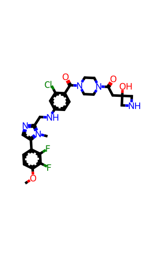 COc1ccc(-c2cnc(CNc3ccc(C(=O)N4CCN(C(=O)CC5(O)CNC5)CC4)c(Cl)c3)n2C)c(F)c1F